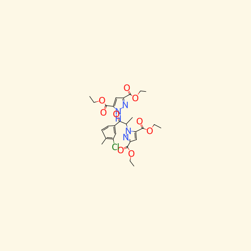 CCOC(=O)c1cc(C(=O)OCC)[nH]n1.CCOC(=O)c1cc(C(=O)OCC)n(C(C)C(=O)c2ccc(C)c(Cl)c2)n1